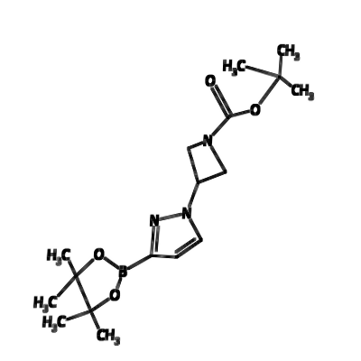 CC(C)(C)OC(=O)N1CC(n2ccc(B3OC(C)(C)C(C)(C)O3)n2)C1